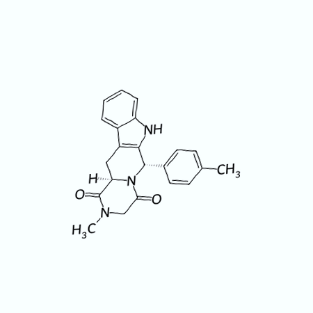 Cc1ccc([C@H]2c3[nH]c4ccccc4c3C[C@@H]3C(=O)N(C)CC(=O)N23)cc1